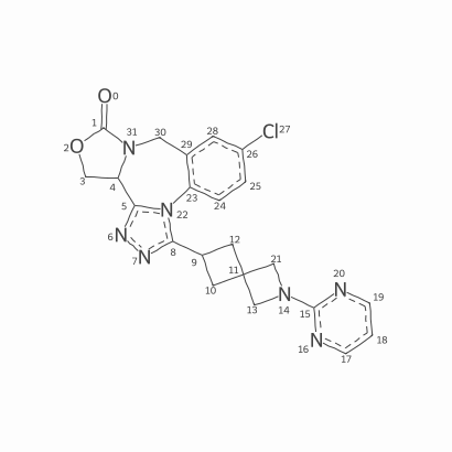 O=C1OCC2c3nnc(C4CC5(C4)CN(c4ncccn4)C5)n3-c3ccc(Cl)cc3CN12